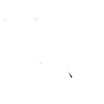 CC1[C@@H]2CC34CCC5C(C)(C(=O)O)CCCC5(C)C13CC2C1C(=O)OC(=O)C14